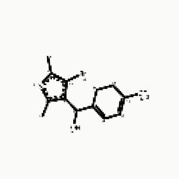 Cc1sc(C)c(C(O)C2=CC=C(C(F)(F)F)CC2)c1Br